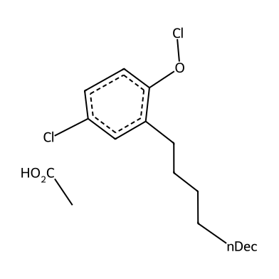 CC(=O)O.CCCCCCCCCCCCCCc1cc(Cl)ccc1OCl